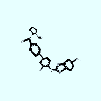 Cc1ccc2nc(Nc3ccc(-c4ccc(C(=O)[C@@H]5CCC[C@H]5C=O)cc4)cc3F)oc2c1